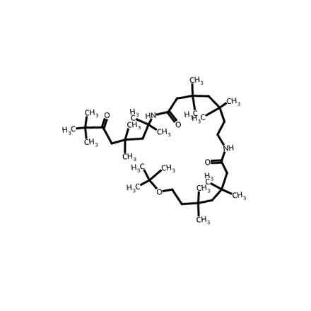 CC(C)(CCOC(C)(C)C)CC(C)(C)CC(=O)NCCC(C)(C)CC(C)(C)CC(=O)NC(C)(C)CC(C)(C)CC(=O)C(C)(C)C